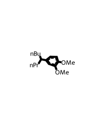 CCCCC(CCC)c1ccc(OC)c(OC)c1